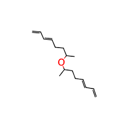 C=CC=CCCC(C)OC(C)CCC=CC=C